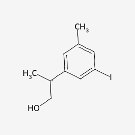 C[C](CO)c1cc(C)cc(I)c1